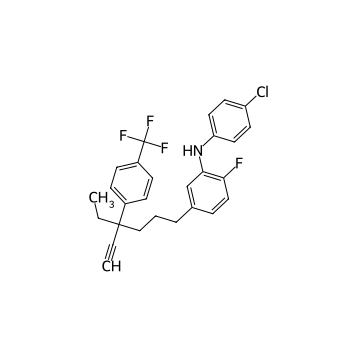 C#CC(CC)(CCCc1ccc(F)c(Nc2ccc(Cl)cc2)c1)c1ccc(C(F)(F)F)cc1